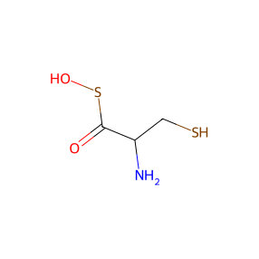 NC(CS)C(=O)SO